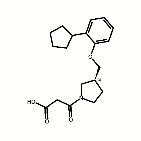 O=C(O)CC(=O)N1CC[C@H](COc2ccccc2C2CCCC2)C1